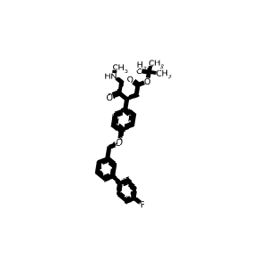 CNCC(=O)C(CC(=O)OC(C)(C)C)c1ccc(OCc2cccc(-c3ccc(F)cc3)c2)cc1